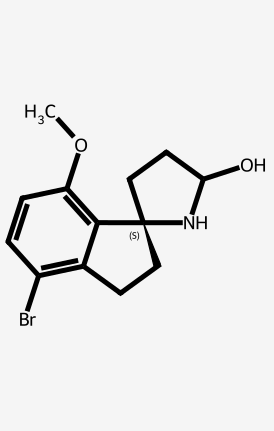 COc1ccc(Br)c2c1[C@]1(CC2)CCC(O)N1